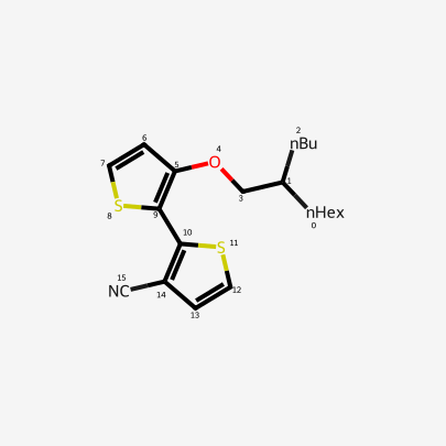 CCCCCCC(CCCC)COc1ccsc1-c1sccc1C#N